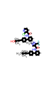 CC(C)(O)C#Cc1ccc(-c2ccccc2NC(=O)c2cccnc2Cl)cc1.COC(C)(C)C#Cc1ccc(-c2ccccc2NC(=O)c2cn(C)nc2C(F)F)cc1